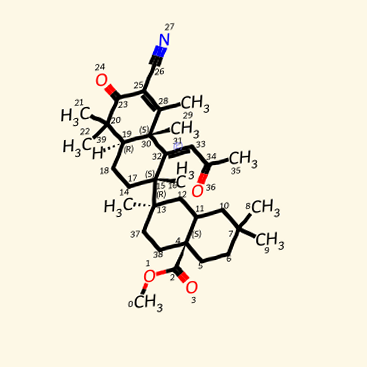 COC(=O)[C@]12CCC(C)(C)CC1C[C@](C)([C@]1(C)CC[C@H]3C(C)(C)C(=O)C(C#N)=C(C)[C@]3(C)/C1=C/C(C)=O)CC2